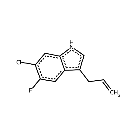 C=CCc1c[nH]c2cc(Cl)c(F)cc12